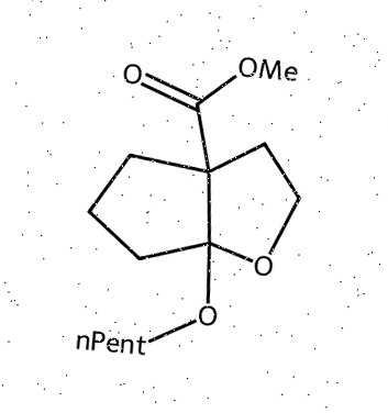 CCCCCOC12CCCC1(C(=O)OC)CCO2